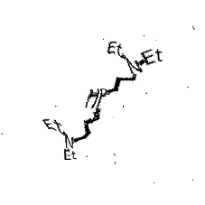 CCN(CC)CCCPCCCN(CC)CC